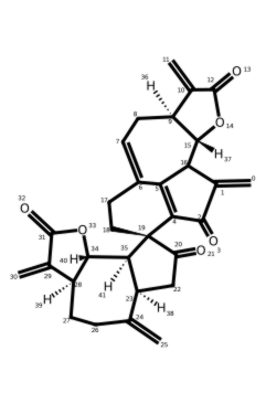 C=C1C(=O)C2=C3C(=CC[C@H]4C(=C)C(=O)O[C@@H]4C13)CC[C@]21C(=O)C[C@H]2C(=C)CC[C@H]3C(=C)C(=O)O[C@@H]3[C@H]21